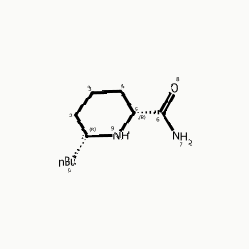 CCCC[C@@H]1CCC[C@H](C(N)=O)N1